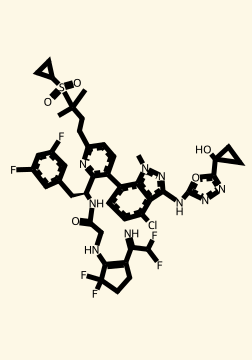 Cn1nc(Nc2nnc(C3(O)CC3)o2)c2c(Cl)ccc(-c3ccc(CCC(C)(C)S(=O)(=O)C4CC4)nc3[C@H](Cc3cc(F)cc(F)c3)NC(=O)CNC3=C(C(=N)C(F)F)CCC3(F)F)c21